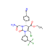 CCOC(=O)C1=C(CBr)N(c2cccc(C(F)(F)F)c2)C(=O)N(CC(N)=O)[C@@H]1c1ccc(C#N)cc1